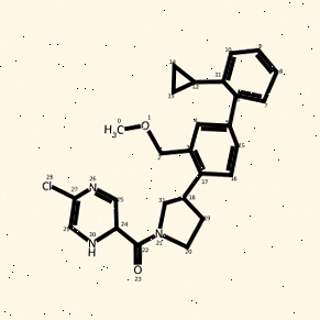 COCc1cc(-c2ccccc2C2CC2)ccc1C1CCN(C(=O)C2C=NC(Cl)=CN2)C1